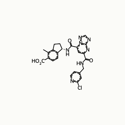 Cc1c(C(=O)O)ccc2c1CC[C@@H]2NC(=O)c1cc(C(=O)NCc2ccnc(Cl)c2)nc2ncnn12